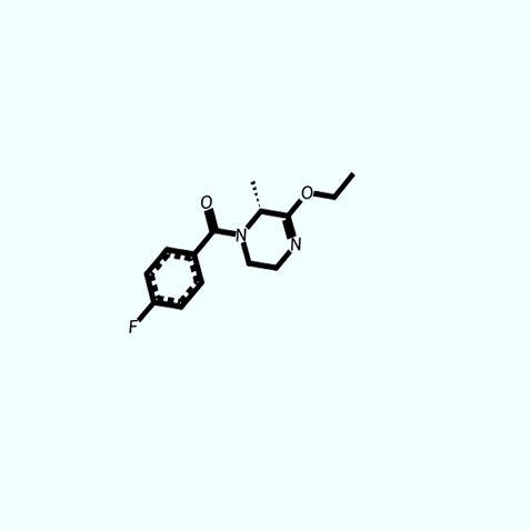 CCOC1=NCCN(C(=O)c2ccc(F)cc2)[C@@H]1C